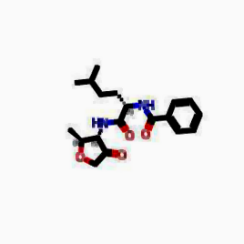 CC(C)CC[C@H](NC(=O)c1ccccc1)C(=O)N[C@@H]1C(=O)CO[C@H]1C